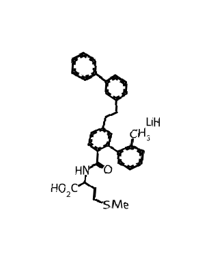 CSCCC(NC(=O)c1ccc(CCc2cccc(-c3ccccc3)c2)cc1-c1ccccc1C)C(=O)O.[LiH]